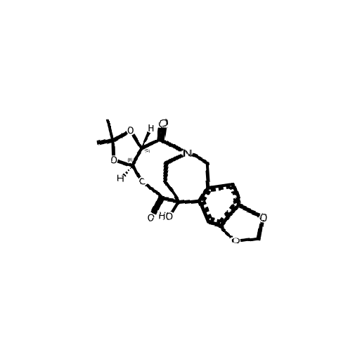 CC1(C)O[C@@H]2C(=O)N3CCC(O)(C(=O)C[C@H]2O1)c1cc2c(cc1C3)OCO2